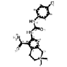 C[N+]1(C)CCc2c(sc(NC(=O)Nc3ccc(Cl)cc3)c2C(N)=O)C1